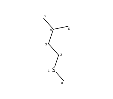 [CH2]SCCC(C)C